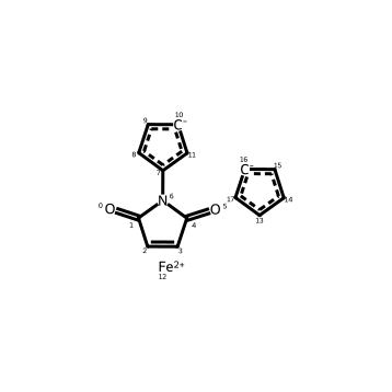 O=C1C=CC(=O)N1c1cc[cH-]c1.[Fe+2].c1cc[cH-]c1